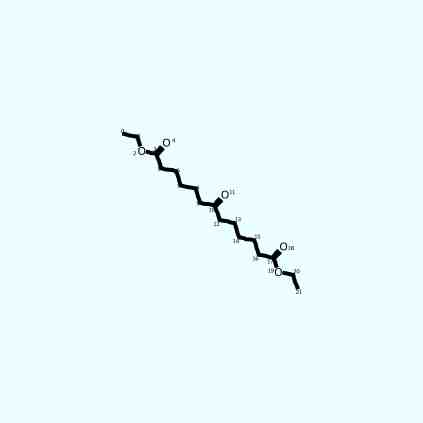 CCOC(=O)CCCCCC(=O)CCCCCC(=O)OCC